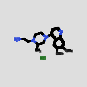 COc1cc2nccc(N3CCN(CCN)C(C)C3)c2cc1OC.Cl